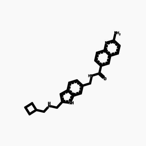 Nc1ccc2cc(C(=O)NCc3ccc4cc(CNCC5CCC5)[nH]c4c3)ccc2n1